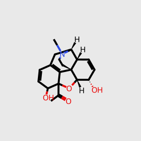 CC(=O)C12O[C@H]3[C@@H](O)C=C[C@H]4[C@H]5CC(=C1[C@]43CCN5C)C=CC2O